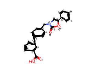 O=C(O)c1cccc(-c2ccc(CN3C[C@@H](c4ccccc4)OC3=O)cc2)c1